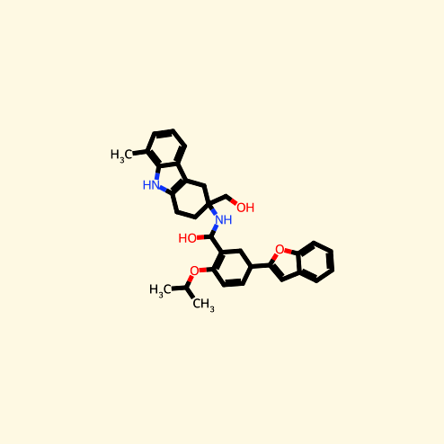 Cc1cccc2c3c([nH]c12)CCC(CO)(NC(O)C1=C(OC(C)C)C=CC(c2cc4ccccc4o2)C1)C3